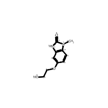 Cn1c(=O)[nH]c2cc(OCCO)ccc21